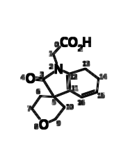 O=C(O)CN1C(=O)C2(CCOCC2)C2=C1CCC=C2